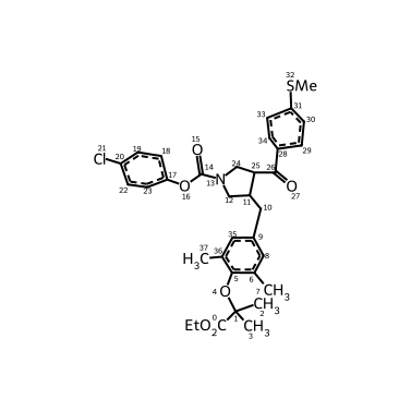 CCOC(=O)C(C)(C)Oc1c(C)cc(CC2CN(C(=O)Oc3ccc(Cl)cc3)CC2C(=O)c2ccc(SC)cc2)cc1C